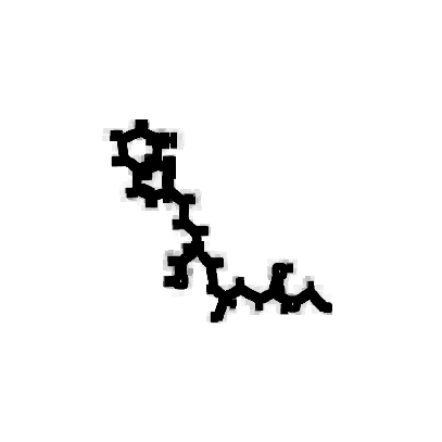 CCOC(=O)CCN(C)CCN(C=O)CCCc1ccc2c(n1)NCCC2